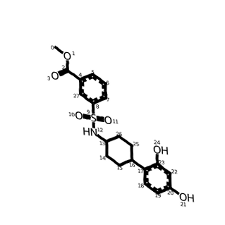 COC(=O)c1cccc(S(=O)(=O)NC2CCC(c3ccc(O)cc3O)CC2)c1